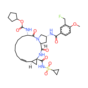 COc1ccc(C(=O)N[C@@H]2C[C@H]3C(=O)N[C@]4(C(=O)NS(=O)(=O)C5CC5)C[C@H]4/C=C\CCCCC[C@H](NC(=O)OC4CCCC4)C(=O)N3C2)cc1CF